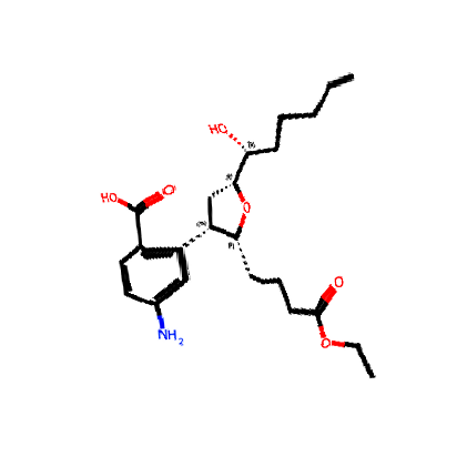 CCCCC[C@@H](O)[C@H]1C[C@@H](c2cc(N)ccc2C(=O)O)[C@@H](CCCC(=O)OCC)O1